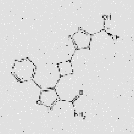 C[C@H](O)c1nnc(C2CC(c3c(C(N)=O)noc3-c3ccccc3)C2)s1